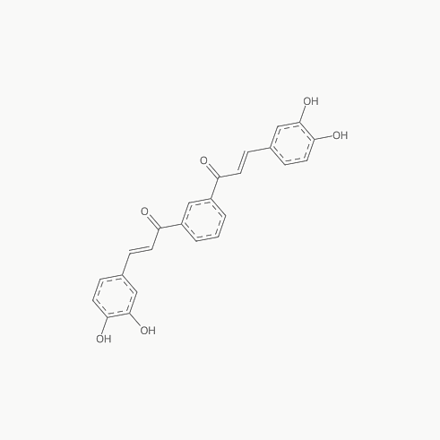 O=C(C=Cc1ccc(O)c(O)c1)c1cccc(C(=O)C=Cc2ccc(O)c(O)c2)c1